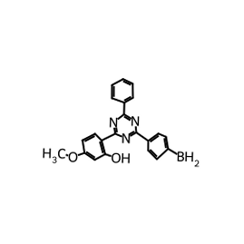 Bc1ccc(-c2nc(-c3ccccc3)nc(-c3ccc(OC)cc3O)n2)cc1